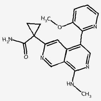 CNc1ncc(-c2ncccc2OC)c2cc(C3(C(N)=O)CC3)ncc12